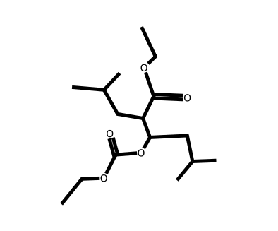 CCOC(=O)OC(CC(C)C)C(CC(C)C)C(=O)OCC